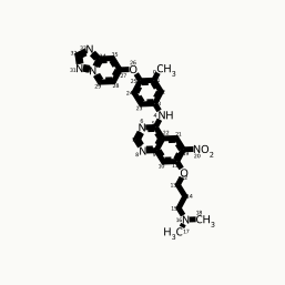 Cc1cc(Nc2ncnc3cc(OCCCN(C)C)c([N+](=O)[O-])cc23)ccc1Oc1ccn2ncnc2c1